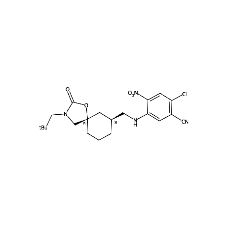 CC(C)(C)CN1C[C@@]2(CCC[C@H](CNc3cc(C#N)c(Cl)cc3[N+](=O)[O-])C2)OC1=O